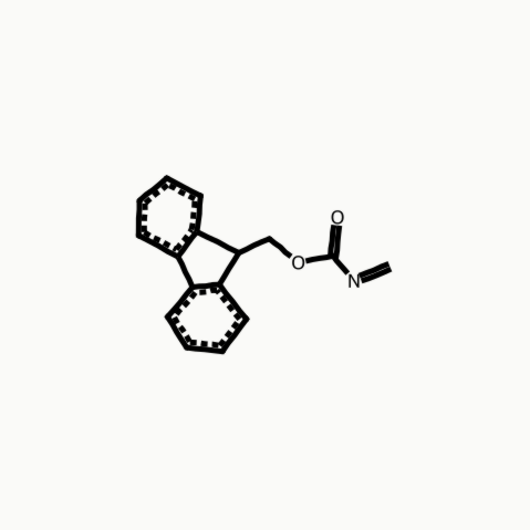 C=NC(=O)OCC1c2ccccc2-c2ccccc21